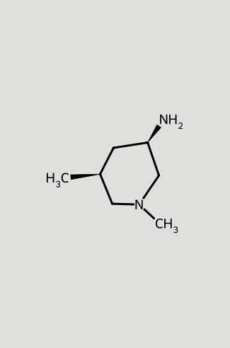 C[C@H]1C[C@@H](N)CN(C)C1